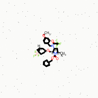 COc1ccc(CN(C(=O)C(F)(F)F)[C@H]2C[C@@H](C)N(C(=O)OCc3ccccc3)[C@H]2CO[C@@H]2CC[C@@]3([B-](F)(F)F)C[C@H]3C2)cc1.[K+]